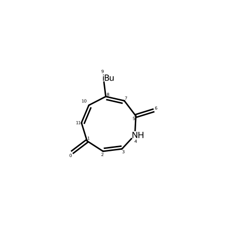 C=c1cc[nH]c(=C)cc(C(C)CC)cc1